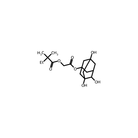 CCC(C)(C)C(=O)OCC(=O)OC12CC3CC(O)(C1)CC(O)(C2)C3O